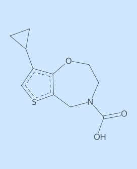 O=C(O)N1CCOc2c(C3CC3)csc2C1